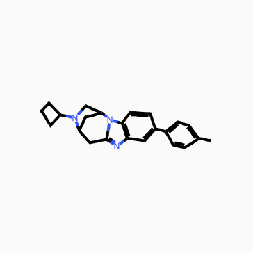 Cc1ccc(-c2ccc3c(c2)nc2n3C3CC(C2)N(C2CCC2)C3)cc1